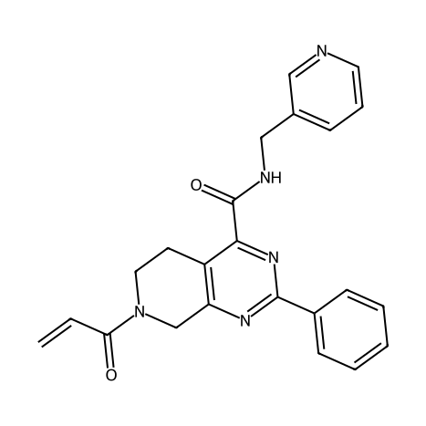 C=CC(=O)N1CCc2c(nc(-c3ccccc3)nc2C(=O)NCc2cccnc2)C1